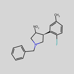 Cc1ccc(F)c([C@H]2CN(Cc3ccccc3)CC2[N+](=O)[O-])c1